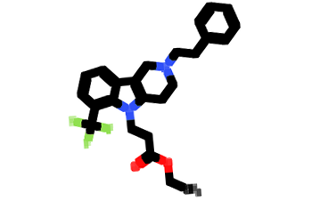 CCOC(=O)CCn1c2c(c3cccc(C(F)(F)F)c31)CN(CCc1ccccc1)CC2